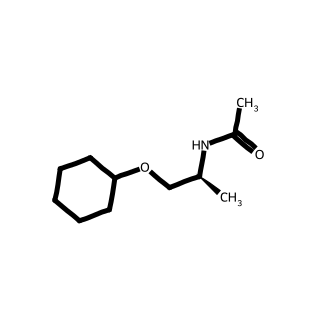 CC(=O)N[C@@H](C)COC1CCCCC1